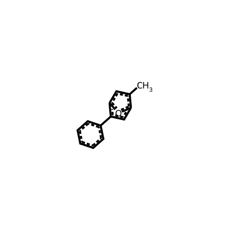 Cc1cc2oc1cc2-c1ccccc1